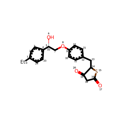 CCc1ccc([C@H](O)COc2ccc(CC3SC(=O)CC3=O)cc2)cc1